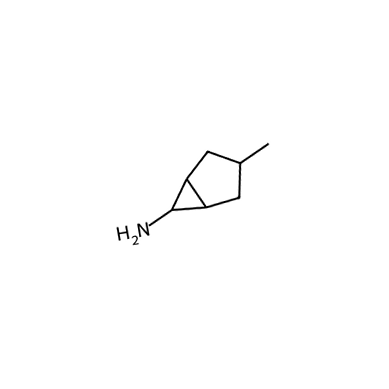 CC1CC2C(N)C2C1